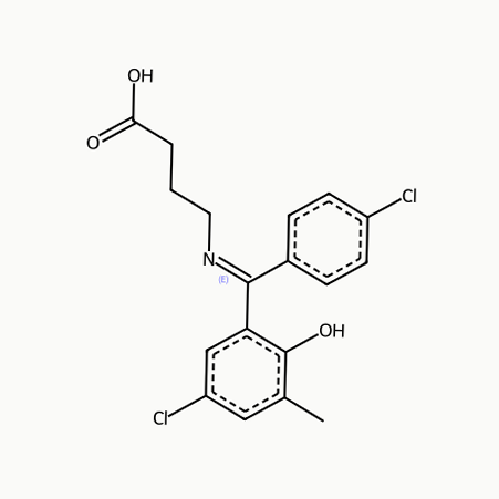 Cc1cc(Cl)cc(/C(=N/CCCC(=O)O)c2ccc(Cl)cc2)c1O